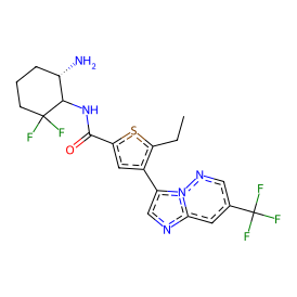 CCc1sc(C(=O)NC2[C@@H](N)CCCC2(F)F)cc1-c1cnc2cc(C(F)(F)F)cnn12